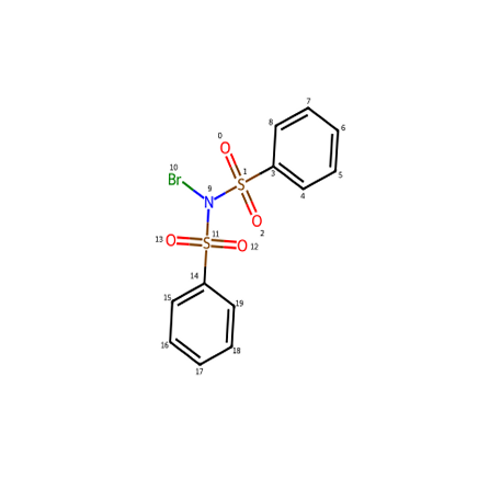 O=S(=O)(c1ccccc1)N(Br)S(=O)(=O)c1ccccc1